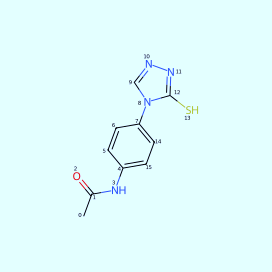 CC(=O)Nc1ccc(-n2cnnc2S)cc1